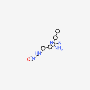 N#Cc1c(-c2ccc(-c3ccccc3)cc2)nc2cc(-c3cccc(CNCCCN4CCOCC4)c3)ccc2c1N